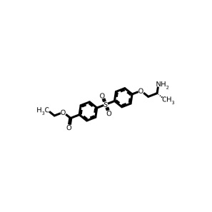 CCOC(=O)c1ccc(S(=O)(=O)c2ccc(OC[C@@H](C)N)cc2)cc1